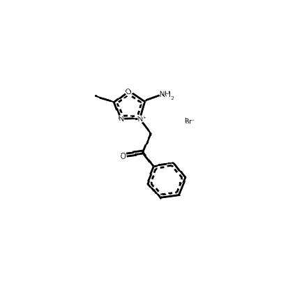 Cc1n[n+](CC(=O)c2ccccc2)c(N)o1.[Br-]